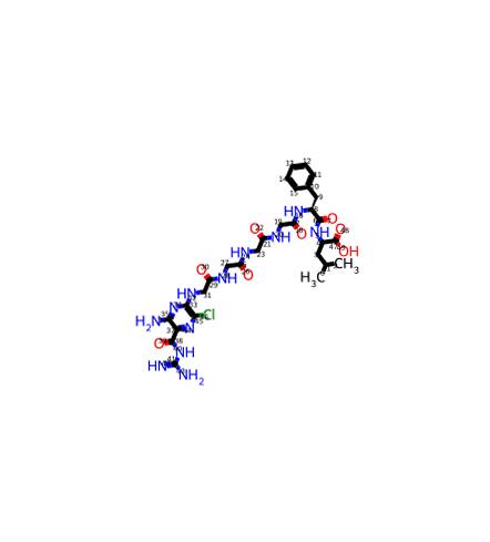 CC(C)CC(NC(=O)[C@H](Cc1ccccc1)NC(=O)CNC(=O)CNC(=O)CNC(=O)CNc1nc(N)c(C(=O)NC(=N)N)nc1Cl)C(=O)O